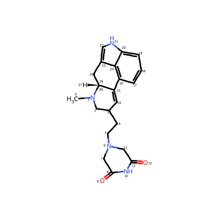 CN1CC(CCN2CC(=O)NC(=O)C2)C=C2c3cccc4[nH]cc(c34)C[C@H]21